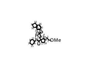 COCCOC[C@H](CC1(C(=O)NC2CCCCC2)CCCC1)C(=O)Oc1ccc2c(c1)CCC2